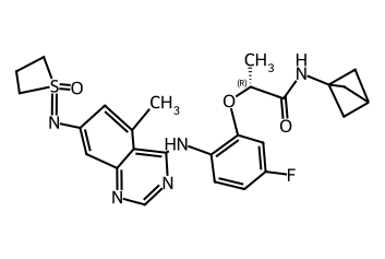 Cc1cc(N=S2(=O)CCC2)cc2ncnc(Nc3ccc(F)cc3O[C@H](C)C(=O)NC34CC(C3)C4)c12